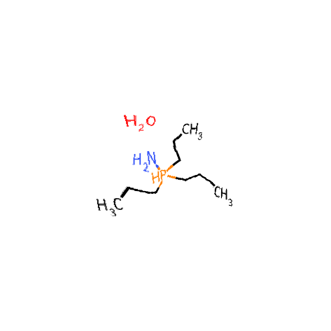 CCC[PH](N)(CCC)CCC.O